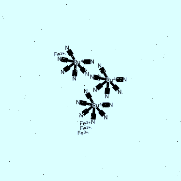 N#[C][Ru-4]([C]#N)([C]#N)([C]#N)([C]#N)[C]#N.N#[C][Ru-4]([C]#N)([C]#N)([C]#N)([C]#N)[C]#N.N#[C][Ru-4]([C]#N)([C]#N)([C]#N)([C]#N)[C]#N.[Fe+3].[Fe+3].[Fe+3].[Fe+3]